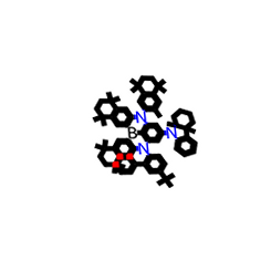 Cc1cc2c(cc1N1c3cc4c(cc3B3c5cc6c(cc5N(c5ccc(C(C)(C)C)cc5-c5ccccc5)c5cc(N7c8ccccc8C8(C)CCCCC78C)cc1c53)C(C)(C)CCC6(C)C)C(C)(C)CCC4(C)C)C(C)(C)CCC2(C)C